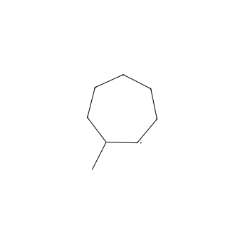 CC1[CH]CCCCC1